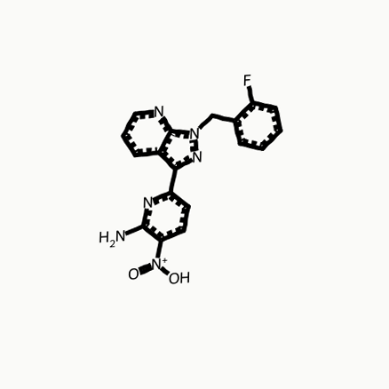 Nc1nc(-c2nn(Cc3ccccc3F)c3ncccc23)ccc1[N+](=O)O